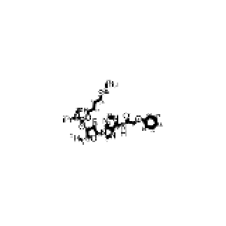 [2H]C[C@H]1O[C@@H](n2cnc3c(NC(=O)COc4ccccc4)ncnc32)C(F)[C@H]1OP(OCCCCSSC(C)(C)C)N(C(C)C)C(C)C